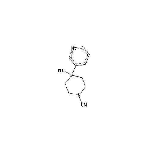 N#CB1CCC(C#N)(c2cccnc2)CC1